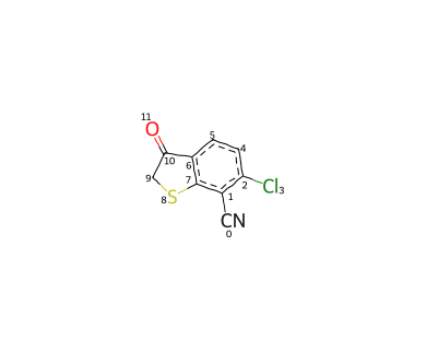 N#Cc1c(Cl)ccc2c1SCC2=O